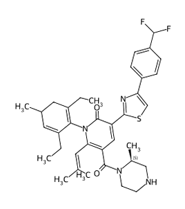 CCC1=CC(C)CC(CC)=C1n1c(C=C(C)C)c(C(=O)N2CCNC[C@@H]2C)cc(-c2nc(-c3ccc(C(F)F)cc3)cs2)c1=O